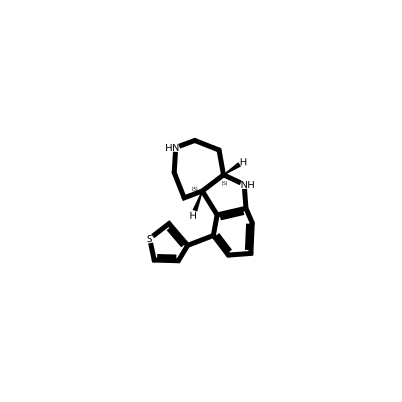 c1cc2c(c(-c3ccsc3)c1)[C@@H]1CCNCC[C@@H]1N2